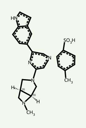 CN1C[C@H]2CN(c3cncc(-c4ccc5[nH]ccc5c4)n3)C[C@H]21.Cc1ccc(S(=O)(=O)O)cc1